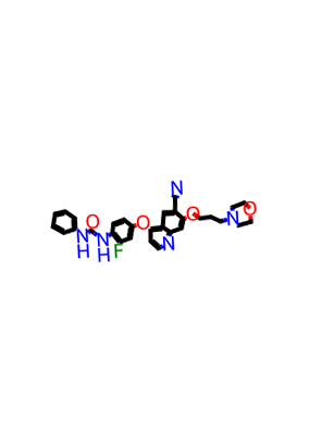 N#Cc1cc2c(Oc3ccc(NC(=O)Nc4ccccc4)c(F)c3)ccnc2cc1OCCCN1CCOCC1